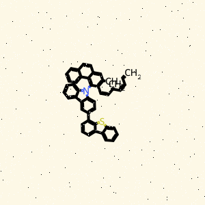 C=C/C=C\C(=C)/C=C\c1c(C)cc2ccc3ccccc3c2c1-n1c2ccccc2c2cc(-c3cccc4c3sc3ccccc34)ccc21